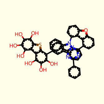 Oc1c(O)c(O)c2c(sc3c(-c4ccc5c(c4)c4ccccc4n5-c4cccc5oc6cccc(-c7nc(-c8ccccc8)nc(-c8ccccc8)n7)c6c45)c(O)c(O)c(O)c32)c1O